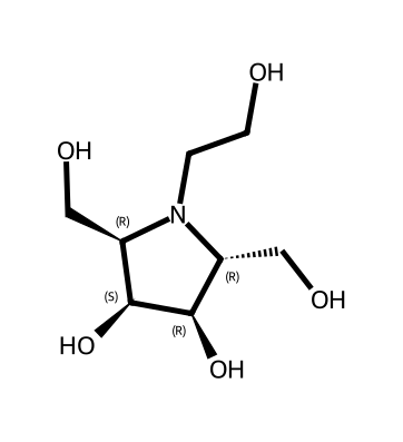 OCCN1[C@H](CO)[C@H](O)[C@H](O)[C@H]1CO